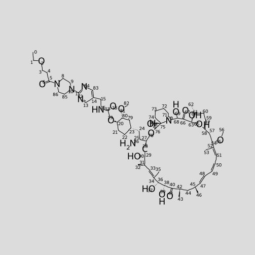 CCOCCC(=O)N1CCN(c2ncc(CNC(=O)O[C@@H]3CC[C@@H](C[C@@H](N)[C@@H]4C[C@@H](O)[C@H](C)/C=C(\C)[C@@H](O)[C@@H](O)C(=O)[C@H](C)C[C@H](C)/C=C/C=C/C=C(\C)[C@@H](OC)C[C@@H]5CC[C@@H](C)[C@@](O)(O5)C(=O)C(O)N5CCCC[C@H]5C(=O)O4)C[C@H]3OC)cn2)CC1